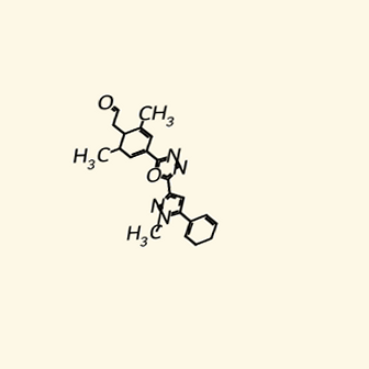 CC1=CC(c2nnc(-c3cc(C4=CCCC=C4)n(C)n3)o2)=CC(C)C1CC=O